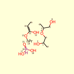 CC(O)COC(C)CO.CC=C(O)OCCC.O=[PH](O)O